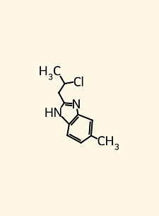 Cc1ccc2[nH]c(CC(C)Cl)nc2c1